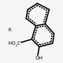 O=C(O)c1c(O)ccc2ccccc12.[K]